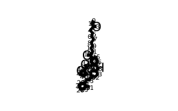 C=CC(=O)CCCCCCCCC(=O)c1ccc(CC2CCC(CCc3ccccc3C)CC2)c(NC(=O)c2ccco2)c1